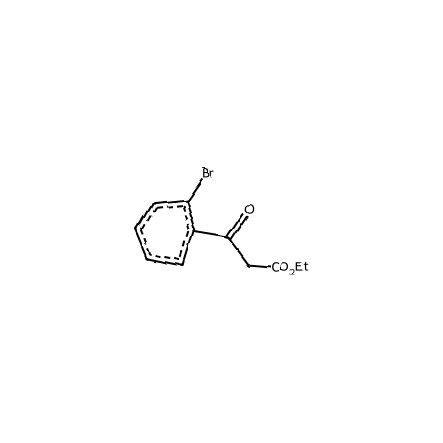 CCOC(=O)CC(=O)c1ccccc1Br